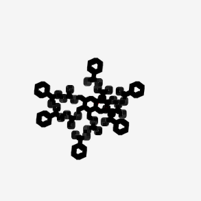 O=C(OCCC(COC(=O)OOC(=O)c1ccccc1)C(COC(=O)OOC(=O)c1ccccc1)C(COC(=O)OOC(=O)c1ccccc1)C(CCOC(=O)OOC(=O)c1ccccc1)COC(=O)OOC(=O)c1ccccc1)OOC(=O)c1ccccc1